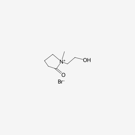 C[N+]1(CCO)CCCC1=O.[Br-]